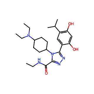 CCNC(=O)c1nnc(-c2cc(C(C)C)c(O)cc2O)n1C1CCC(N(CC)CC)CC1